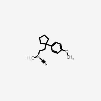 COc1ccc(C2(CCN(C)C#N)CCCC2)cc1